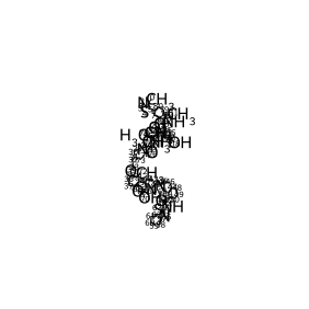 Cc1ncsc1-c1ccc([C@H](C)NC(=O)[C@@H]2C[C@@H](O)CN2C(=O)[C@@H](NC(=O)CN2CCC(CCOc3cccc(-c4ccc(N5CCc6cccc(C(=O)Nc7nc8ccccc8s7)c6C5)nc4C(=O)O)c3C)CC2)C(C)(C)C)cc1